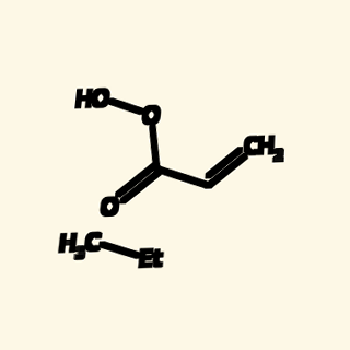 C=CC(=O)OO.CCC